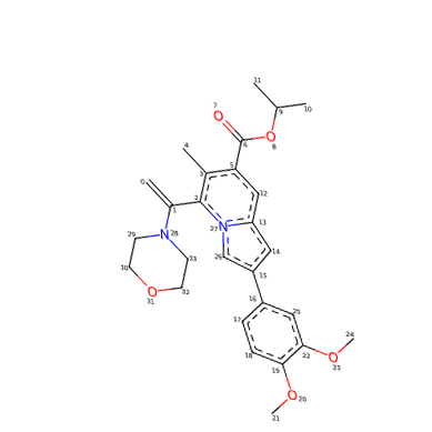 C=C(c1c(C)c(C(=O)OC(C)C)cc2cc(-c3ccc(OC)c(OC)c3)cn12)N1CCOCC1